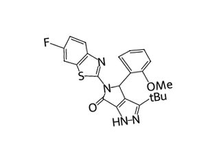 COc1ccccc1C1c2c(C(C)(C)C)n[nH]c2C(=O)N1c1nc2ccc(F)cc2s1